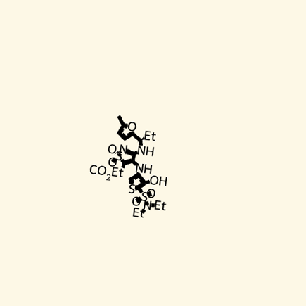 CCOC(=O)C1=C(Nc2csc(S(=O)(=O)N(CC)CC)c2O)C(N[C@H](CC)c2ccc(C)o2)=NS1(=O)=O